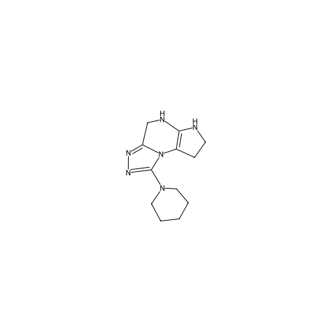 C1CCN(c2nnc3n2C2=C(NCC2)NC3)CC1